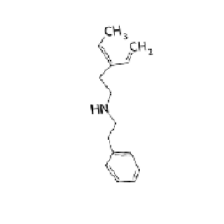 C=C/C(=C\C)CCNCCc1ccccc1